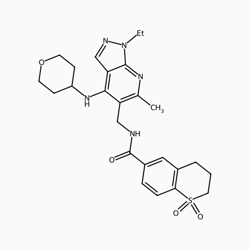 CCn1ncc2c(NC3CCOCC3)c(CNC(=O)c3ccc4c(c3)CCCS4(=O)=O)c(C)nc21